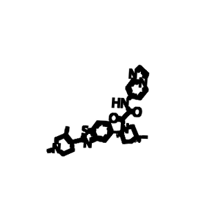 CC1=C(c2nc3cc([C@H]4CC[C@H](C)CN4C(=O)C(=O)Nc4ccn5ccnc5c4)ccc3s2)CCN(C)C1